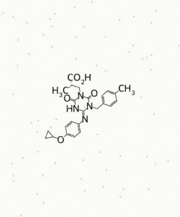 Cc1ccc(Cn2c(=O)n(C[C@H](C)C(=O)O)c(=O)[nH]/c2=N\c2ccc(OC3CC3)cc2)cc1